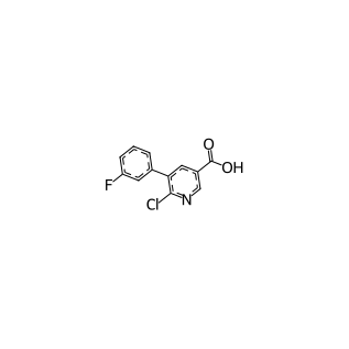 O=C(O)c1cnc(Cl)c(-c2cccc(F)c2)c1